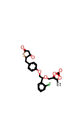 CCc1oc(=O)oc1COC(COc1ccc(CC2SC(=O)CC2=O)cc1)c1ccccc1F